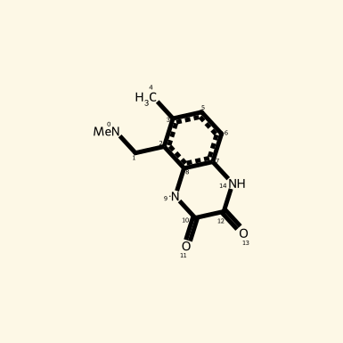 CNCc1c(C)ccc2c1[N]C(=O)C(=O)N2